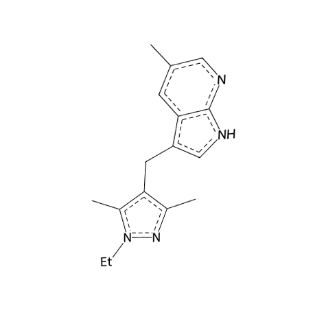 CCn1nc(C)c(Cc2c[nH]c3ncc(C)cc23)c1C